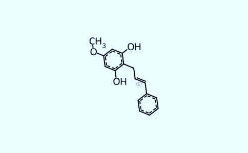 COc1cc(O)c(C/C=C/c2ccccc2)c(O)c1